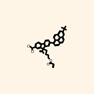 C=CC(=O)OCCCCC1(C(=C)C)c2cc(-c3ccc4ccc5cc(C(C)(C)C)cc6ccc3c4c56)ccc2-c2ccc(C(Cl)Cl)cc21